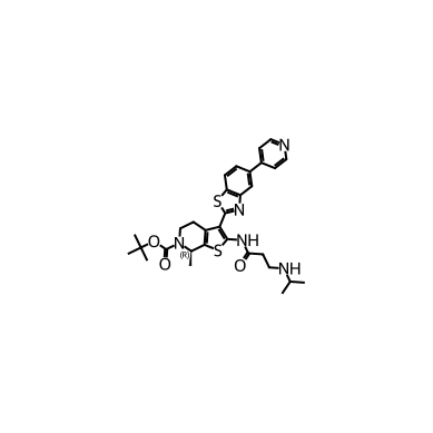 CC(C)NCCC(=O)Nc1sc2c(c1-c1nc3cc(-c4ccncc4)ccc3s1)CCN(C(=O)OC(C)(C)C)[C@@H]2C